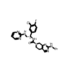 CC(C)Nc1ncc2c(n1)CN(C(=O)N[C@H](CNc1ncccn1)c1ccc(F)c(Cl)c1)CC2